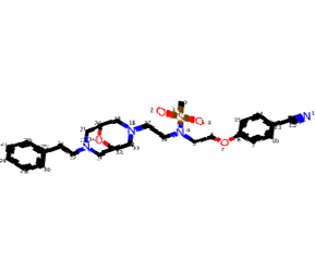 CS(=O)(=O)N(CCOc1ccc(C#N)cc1)CCN1CC2CN(CCc3ccccc3)CC(C1)O2